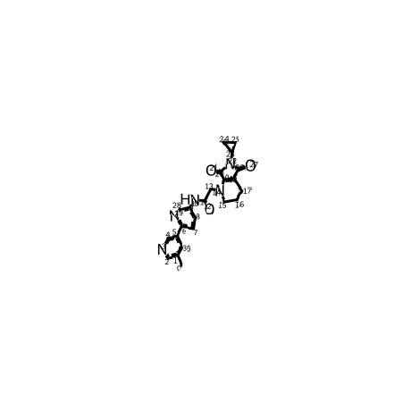 Cc1cncc(-c2ccc(NC(=O)CN3CCCC4=C3C(=O)N(C3CC3)C4=O)cn2)c1